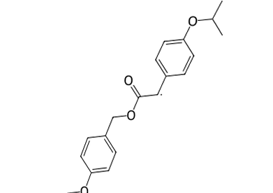 COc1ccc(COC(=O)[CH]c2ccc(OC(C)C)cc2)cc1